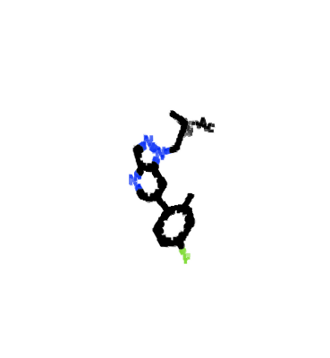 CC(=O)[C@@H](C)Cn1ncc2ncc(-c3ccc(F)cc3C)cc21